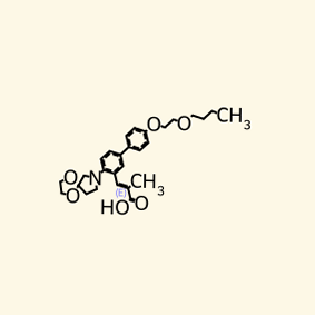 CCCCOCCOc1ccc(-c2ccc(N3CCC4(C3)OCCO4)c(/C=C(\C)C(=O)O)c2)cc1